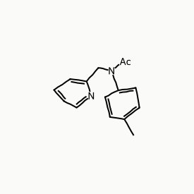 CC(=O)N(Cc1ccccn1)c1ccc(C)cc1